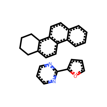 c1ccc2c(c1)ccc1c3c(ccc12)CCCC3.c1cnc(-c2ccco2)nc1